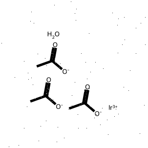 CC(=O)[O-].CC(=O)[O-].CC(=O)[O-].O.[Ir+3]